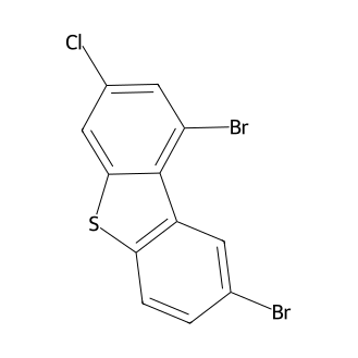 Clc1cc(Br)c2c(c1)sc1ccc(Br)cc12